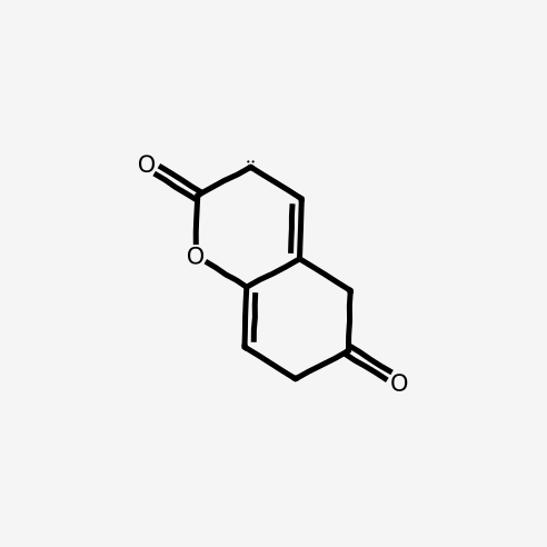 O=C1CC=C2OC(=O)[C]C=C2C1